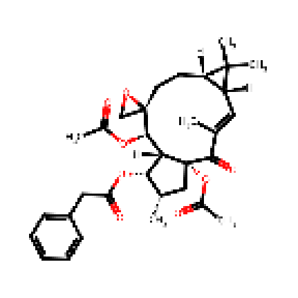 CC(=O)O[C@@H]1[C@H]2[C@@H](OC(=O)Cc3ccccc3)[C@@H](C)C[C@]2(OC(C)=O)C(=O)/C(C)=C/[C@@H]2[C@H](CC[C@]13CO3)C2(C)C